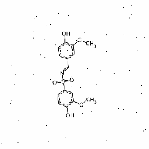 COc1cc(/C=N/S(=O)(=O)c2ccc(O)c(OC)c2)ccc1O